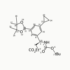 CCOC(=O)C[C@H](NC(=O)OC(C)(C)C)c1cc(B2OC(C)(C)C(C)(C)O2)cc(C2CC2)c1